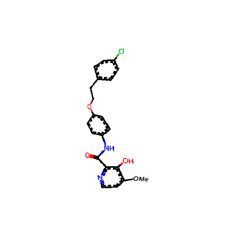 COc1ccnc(C(=O)Nc2ccc(OCCc3ccc(Cl)cc3)cc2)c1O